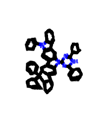 c1ccc(C2=NC(n3c4cc5c(cc4c4cc6c(cc43)c3ccccc3n6-c3ccccc3)C(c3ccccc3)(c3ccccc3)c3ccccc3-5)=NC(c3ccccc3)N2)cc1